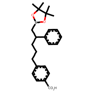 CC1(C)OB(CC(CCCc2ccc(C(=O)O)cc2)c2ccccc2)OC1(C)C